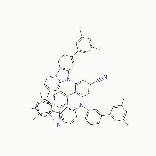 Cc1cc(C)cc(-c2ccc3c4ccc(-c5cc(C)cc(C)c5)cc4n(-c4cc(C#N)cc(-n5c6cc(-c7cc(C)cc(C)c7)ccc6c6ccc(-c7cc(C)cc(C)c7)cc65)c4-c4cccc(C#N)c4)c3c2)c1